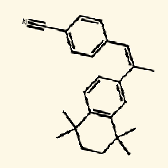 C/C(=C/c1ccc(C#N)cc1)c1ccc2c(c1)C(C)(C)CCC2(C)C